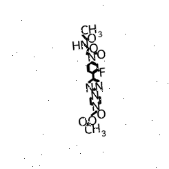 CCC(=O)NC1CN(c2ccc(-c3cnc(N4CCN(C(=O)COC(C)=O)CC4)nc3)c(F)c2)C(=O)O1